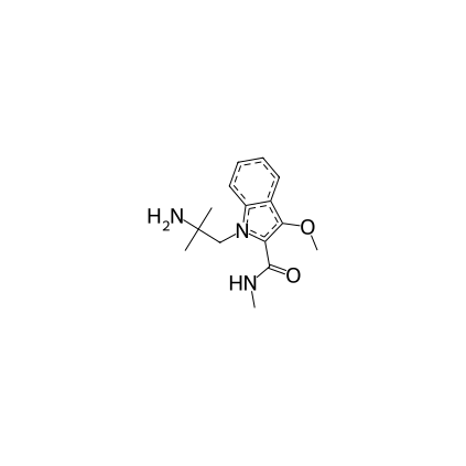 CNC(=O)c1c(OC)c2ccccc2n1CC(C)(C)N